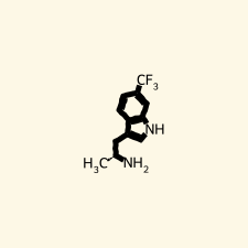 C[C@@H](N)Cc1c[nH]c2cc(C(F)(F)F)ccc12